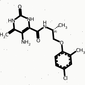 C=C1NC(=O)NC(C(=O)N[C@H](C)COc2ccc(Cl)cc2C)=C1N